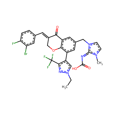 CCn1cc(-c2cc(Cn3ccn(C)c3=NC(=O)O)cc3c2OC/C(=C\c2ccc(F)c(Br)c2)C3=O)c(C(F)(F)F)n1